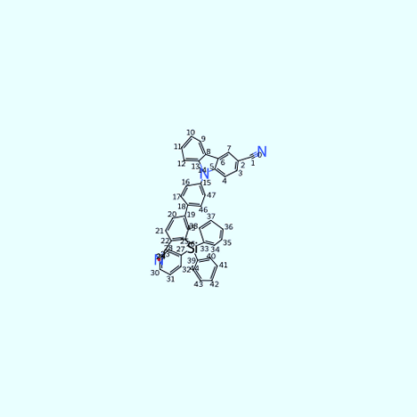 N#Cc1ccc2c(c1)c1ccccc1n2-c1ccc(-c2ccc(C#N)c([Si](c3ccccc3)(c3ccccc3)c3ccccc3)c2)cc1